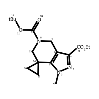 CCOC(=O)c1nn(C)c2c1CN(C(=O)OC(C)(C)C)CC21CC1